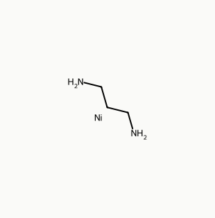 NCCCN.[Ni]